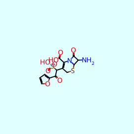 NC1C(=O)N2C(C(=O)O)=C(C(C(=O)c3ccco3)S(=O)(=O)O)CSC12